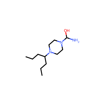 CCCC(CCC)N1CCN(C(N)O)CC1